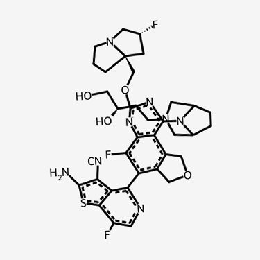 N#Cc1c(N)sc2c(F)cnc(-c3c4c(c5c(N6C7CCC6CN(CC[C@@H](O)CO)C7)nc(OC[C@@]67CCCN6C[C@H](F)C7)nc5c3F)COC4)c12